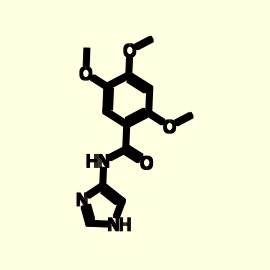 COc1cc(OC)c(C(=O)Nc2c[nH]cn2)cc1OC